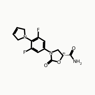 NC(=O)[C@H]1CN(c2cc(F)c(N3CC=CC3)c(F)c2)C(=O)O1